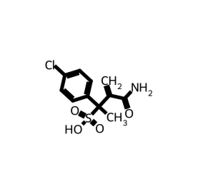 C=C(C(N)=O)C(C)(c1ccc(Cl)cc1)S(=O)(=O)O